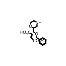 O=C(O)C=CC(=O)O.c1ccc(COCC2CNCCO2)cc1